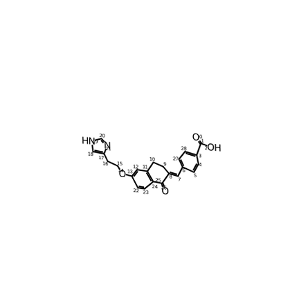 O=C(O)c1ccc(/C=C2\CCc3cc(OCCc4c[nH]cn4)ccc3C2=O)cc1